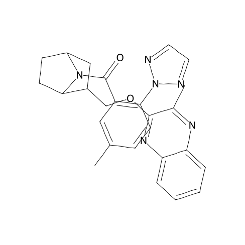 Cc1ccc(-n2nccn2)c(C(=O)N2C3CCC2C(COc2nc4ccccc4nc2C)C3)c1